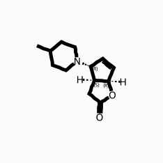 CC1CCN([C@@H]2C=C[C@H]3OC(=O)C[C@@H]23)CC1